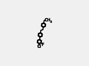 CCc1ccc(CCc2ccc(-c3ccc(Cl)c(F)c3)cc2)cc1